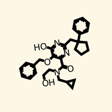 O=C(c1nc(CC2(c3ccccc3)CCCC2)nc(O)c1OCc1ccccc1)N(CCO)CC1CC1